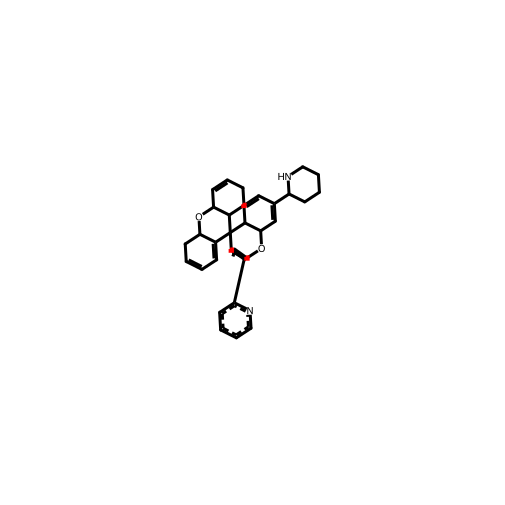 C1=CCC2OC3C=CCCC3C3(C2=C1)C1=C(CC(c2ccccn2)C=C1)OC1C=C(C2CCCCN2)C=CC13